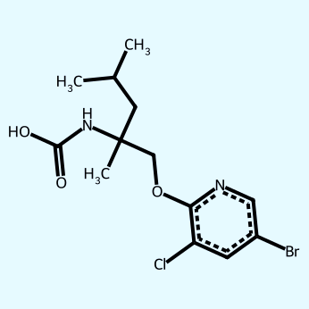 CC(C)CC(C)(COc1ncc(Br)cc1Cl)NC(=O)O